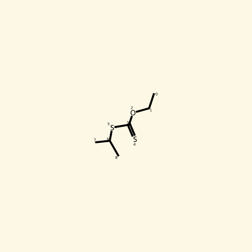 CCOC(=S)SC(C)C